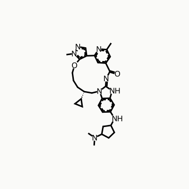 Cc1cc2cc(n1)-c1cnn(C)c1OCCC[C@@H](C1CC1)CN1/C(=N/C2=O)Nc2cc(NC3CCC(N(C)C)C3)ccc21